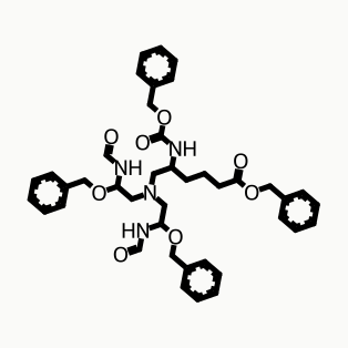 O=CNC(CN(CC(CCCC(=O)OCc1ccccc1)NC(=O)OCc1ccccc1)CC(NC=O)OCc1ccccc1)OCc1ccccc1